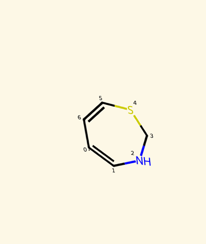 [C]1=CNCSC=C1